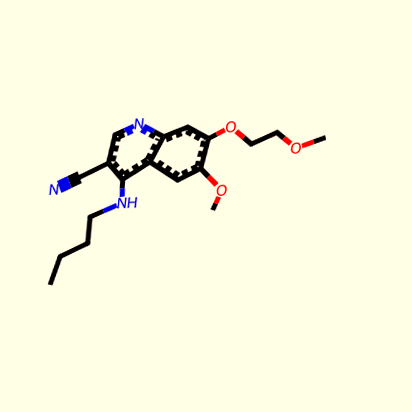 CCCCNc1c(C#N)cnc2cc(OCCOC)c(OC)cc12